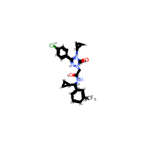 O=C(Cn1nc(-c2ccc(Cl)cc2)n(C2CC2)c1=O)NC(c1cccc(C(F)(F)F)c1)C1CC1